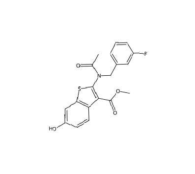 COC(=O)c1c(N(Cc2cccc(F)c2)C(C)=O)sc2cc(O)ccc12